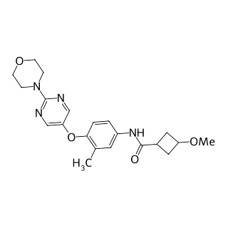 COC1CC(C(=O)Nc2ccc(Oc3cnc(N4CCOCC4)nc3)c(C)c2)C1